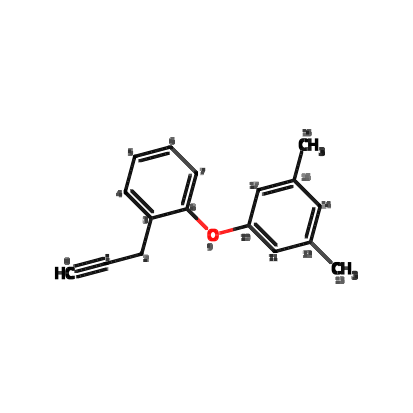 C#CCc1ccccc1Oc1cc(C)cc(C)c1